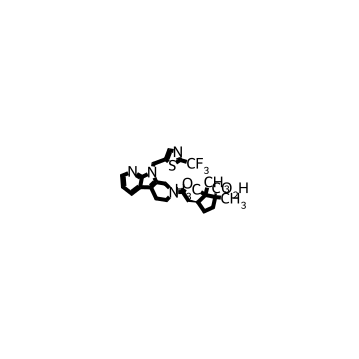 CC1(C)[C@H](CC(=O)N2CCc3c(n(Cc4cnc(C(F)(F)F)s4)c4ncccc34)C2)CC[C@]1(C)C(=O)O